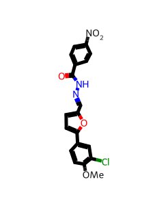 COc1ccc(-c2ccc(/C=N/NC(=O)c3ccc([N+](=O)[O-])cc3)o2)cc1Cl